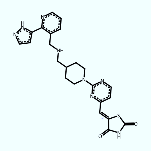 O=C1NC(=O)/C(=C/c2ccnc(N3CCC(CNCc4cccnc4-c4ccn[nH]4)CC3)n2)S1